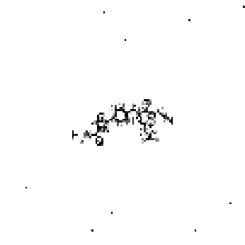 CC(C)(C)OC(=O)N[C@@H](Cc1ccc(-c2nc(C(N)=O)co2)cc1)C(=O)OCC#N